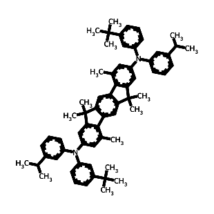 Cc1cc(N(c2cccc(C(C)C)c2)c2cccc(C(C)(C)C)c2)cc2c1-c1cc3c(cc1C2(C)C)-c1c(C)cc(N(c2cccc(C(C)C)c2)c2cccc(C(C)(C)C)c2)cc1C3(C)C